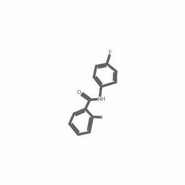 O=C(Nc1ccc(F)cc1)c1ccccc1I